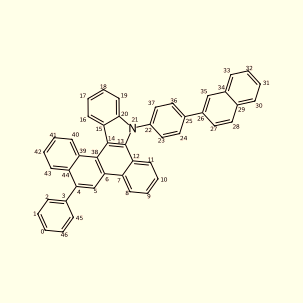 c1ccc(-c2cc3c4ccccc4c4c(c5ccccc5n4-c4ccc(-c5ccc6ccccc6c5)cc4)c3c3ccccc23)cc1